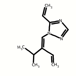 C=C/C(=C\n1ncnc1C=C)C(C)C